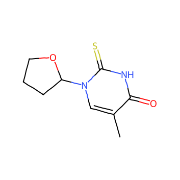 Cc1cn(C2CCCO2)c(=S)[nH]c1=O